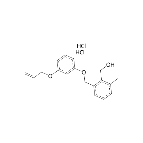 C=CCOc1cccc(OCc2cccc(C)c2CO)c1.Cl.Cl